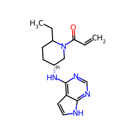 C=CC(=O)N1C[C@H](Nc2ncnc3[nH]ccc23)CCC1CC